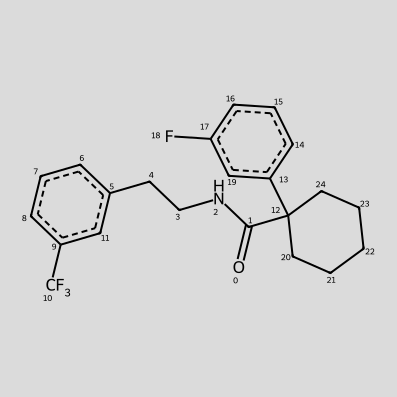 O=C(NCCc1cccc(C(F)(F)F)c1)C1(c2cccc(F)c2)CCCCC1